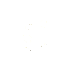 COCCN(C)C(=O)CC1CN(C(C)C)C(=O)c2c(O)c(=O)c(-c3ncc(Cc4ccc(F)cc4F)s3)cn21